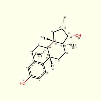 C=C[C@@]12CCc3cc(O)ccc3[C@H]1CC[C@@]1(C)[C@H]2C[C@H](F)[C@@H]1O